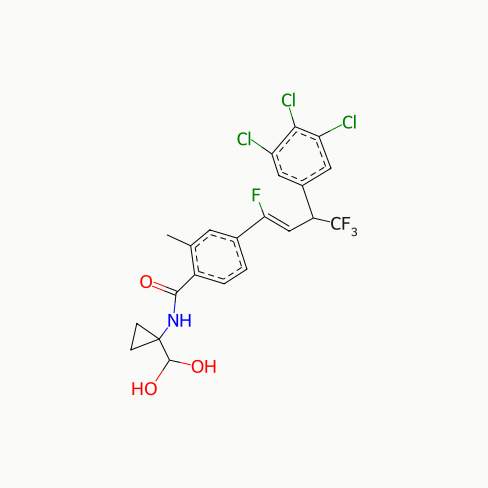 Cc1cc(/C(F)=C/C(c2cc(Cl)c(Cl)c(Cl)c2)C(F)(F)F)ccc1C(=O)NC1(C(O)O)CC1